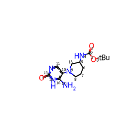 CC(C)(C)OC(=O)NC1CCCN(c2cnc(=O)[nH]c2N)C1